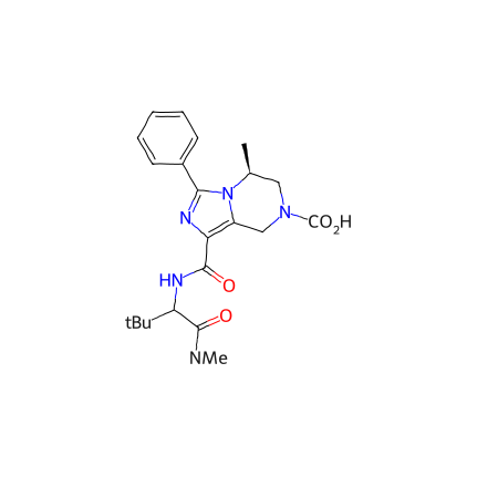 CNC(=O)C(NC(=O)c1nc(-c2ccccc2)n2c1CN(C(=O)O)C[C@@H]2C)C(C)(C)C